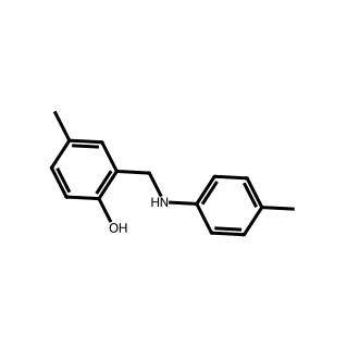 Cc1ccc(NCc2cc(C)ccc2O)cc1